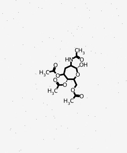 CC(=O)NC1CC(OC(C)=O)[C@@H](OC(C)=O)C(COC(C)=O)O[C@H]1O